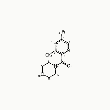 CC(C)c1cnc(C(=O)N2CCOCC2)c(Cl)c1